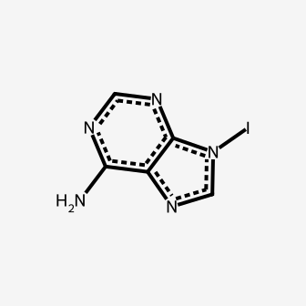 Nc1ncnc2c1ncn2I